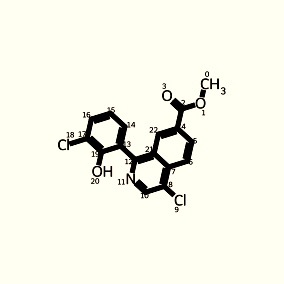 COC(=O)c1ccc2c(Cl)cnc(-c3cccc(Cl)c3O)c2c1